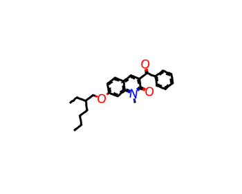 CCCCC(CC)COc1ccc2cc(C(=O)c3ccccc3)c(=O)n(C)c2c1